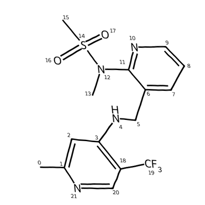 Cc1cc(NCc2cccnc2N(C)S(C)(=O)=O)c(C(F)(F)F)cn1